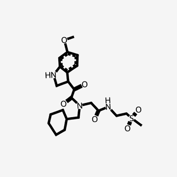 COc1ccc2c(c1)NCC2C(=O)C(=O)N(CC(=O)NCCS(C)(=O)=O)CC1CCCCC1